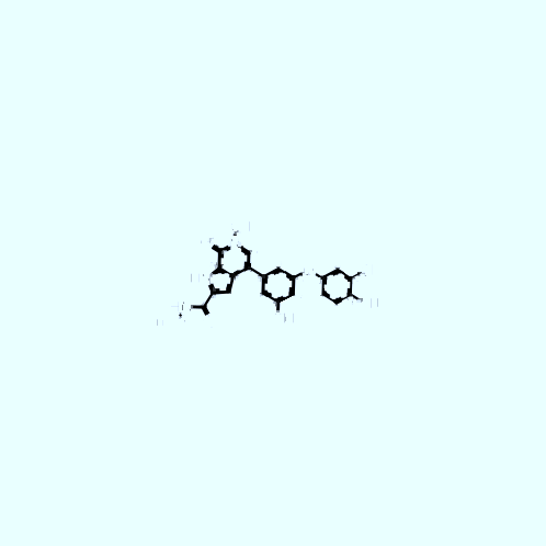 CCCNC(=O)c1cc2c(-c3cc(C)cc(Oc4ccc(C)c(Cl)c4)c3)cn(C)c(=O)c2[nH]1